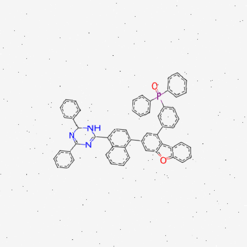 O=P(c1ccccc1)(c1ccccc1)c1cccc(-c2cc(-c3ccc(C4=NC(c5ccccc5)=NC(c5ccccc5)N4)c4ccccc34)cc3oc4ccccc4c23)c1